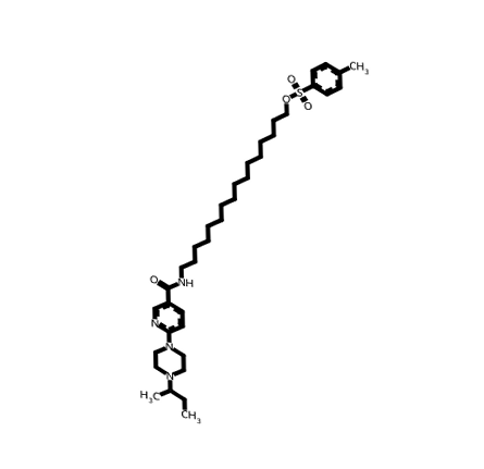 CCC(C)N1CCN(c2ccc(C(=O)NCCCCCCCCCCCCCCCCOS(=O)(=O)c3ccc(C)cc3)cn2)CC1